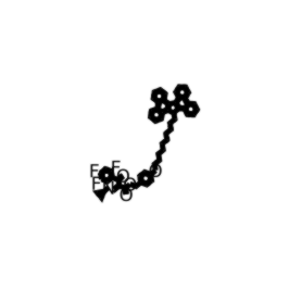 O=C(OCc1ccc(OCCCCCCCCCCC2c3c(c4ccccc4c4ccccc34)-c3c2c2ccccc2c2ccccc32)cc1)/C(=C/NC1CC1)C(=O)c1cc(F)c(F)cc1F